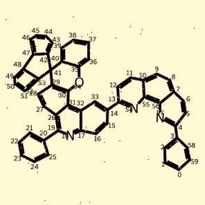 c1ccc(-c2ccc3ccc4ccc(-c5ccc6nc(-c7ccccc7)c7ccc8c(c7c6c5)Oc5ccccc5C85c6ccccc6-c6ccccc65)nc4c3n2)cc1